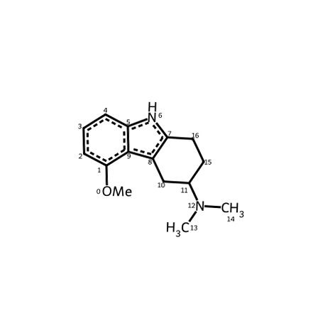 COc1cccc2[nH]c3c(c12)CC(N(C)C)CC3